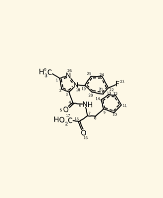 Cc1cc(C(=O)NC(Cc2ccccc2)C(=O)C(=O)O)n(-c2ccc(F)cc2)n1